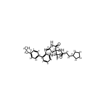 COc1ccc(-c2cccc3c2nc2n3C(NC(=O)CCC3CCCC3)(C(F)(F)F)C(=O)N2)cc1